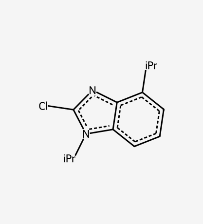 CC(C)c1cccc2c1nc(Cl)n2C(C)C